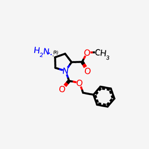 COC(=O)C1C[C@@H](N)CN1C(=O)OCc1ccccc1